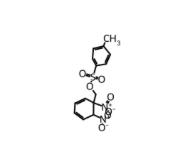 Cc1ccc(S(=O)(=O)OCC2([N+](=O)[O-])C=CC=CC2[N+](=O)[O-])cc1